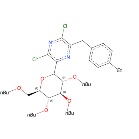 CCCCOC[C@H]1OC(c2nc(Cc3ccc(CC)cc3)c(Cl)nc2Cl)[C@H](OCCCC)[C@@H](OCCCC)[C@@H]1OCCCC